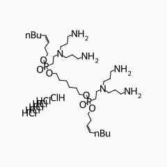 CCCC/C=C\CCOP(=O)(CCN(CCCN)CCCN)OCCCCCCOP(=O)(CCN(CCCN)CCCN)OCC/C=C\CCCC.Cl.Cl.Cl.Cl.Cl.Cl